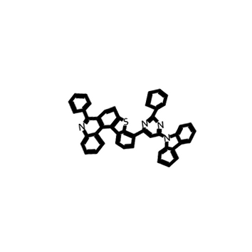 c1ccc(-c2nc(-c3cccc4c3sc3ccc5c(-c6ccccc6)nc6ccccc6c5c34)cc(-n3c4ccccc4c4ccccc43)n2)cc1